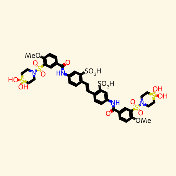 COc1ccc(C(=O)Nc2ccc(/C=C/c3ccc(NC(=O)c4ccc(OC)c(S(=O)(=O)N5CCS(O)(O)CC5)c4)cc3S(=O)(=O)O)c(S(=O)(=O)O)c2)cc1S(=O)(=O)N1CCS(O)(O)CC1